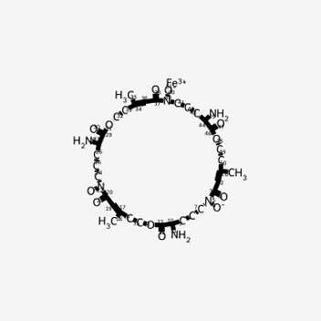 CC1=CC(=O)N([O-])CCCC(N)C(=O)OCCC(C)=CC(=O)N([O-])CCCC(N)C(=O)OCCC(C)=CC(=O)N([O-])CCCC(N)C(=O)OCC1.[Fe+3]